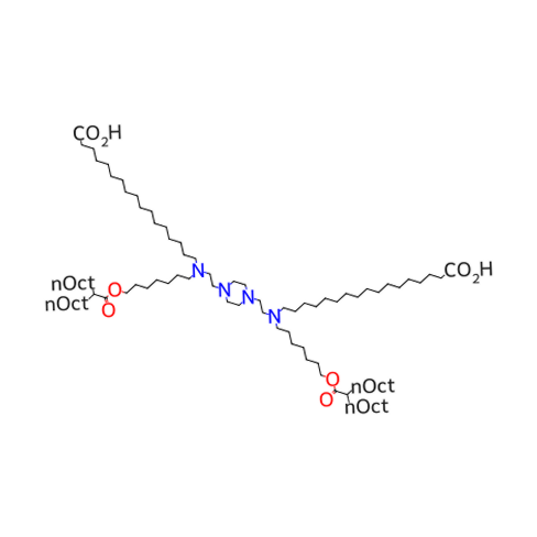 CCCCCCCCC(CCCCCCCC)C(=O)OCCCCCCCN(CCCCCCCCCCCCCCCCC(=O)O)CCN1CCN(CCN(CCCCCCCCCCCCCCCCC(=O)O)CCCCCCCOC(=O)C(CCCCCCCC)CCCCCCCC)CC1